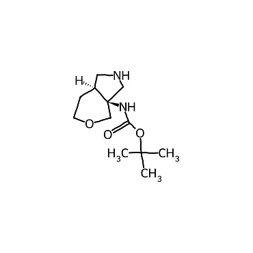 CC(C)(C)OC(=O)N[C@]12CNC[C@@H]1CCOC2